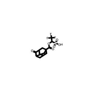 O=C1C2CC3CC1CC(C(=O)OC(C(F)(F)F)S(=O)(=O)O)(C3)C2